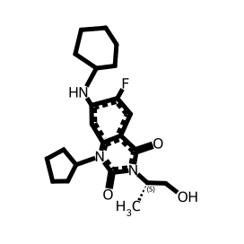 C[C@@H](CO)n1c(=O)c2cc(F)c(NC3CCCCC3)cc2n(C2CCCC2)c1=O